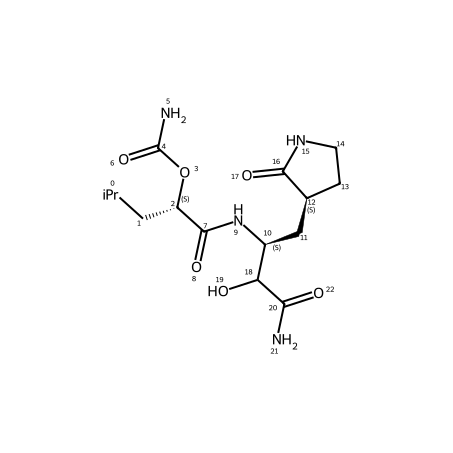 CC(C)C[C@H](OC(N)=O)C(=O)N[C@@H](C[C@@H]1CCNC1=O)C(O)C(N)=O